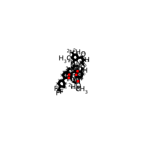 [2H]c1c(C)c([2H])c2c(c1[2H])c(=O)c([2H])c(SC([2H])([2H])c1cccc(F)c1F)n2CC(=O)N(Cc1ccc(-c2ccc(C(F)(F)F)cc2)cc1)C1([2H])C([2H])([2H])C([2H])([2H])N(CC([2H])([2H])OC)C([2H])([2H])C1([2H])[2H]